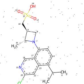 CC(C)c1ccc(N2C[C@H](CS(=O)(=O)O)[C@H]2C)c2cnc(Cl)cc12